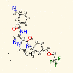 C[C@H]1Cn2ncc(NC(=O)c3cccc(C#N)c3)c2C(=O)N1c1ccc(COCC(F)(F)F)cc1